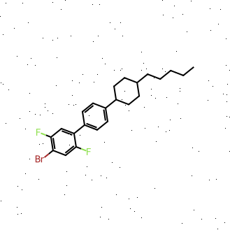 CCCCCC1CCC(c2ccc(-c3cc(F)c(Br)cc3F)cc2)CC1